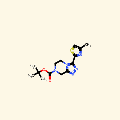 Cc1csc(-c2nnc3n2CCN(C(=O)OC(C)(C)C)C3)n1